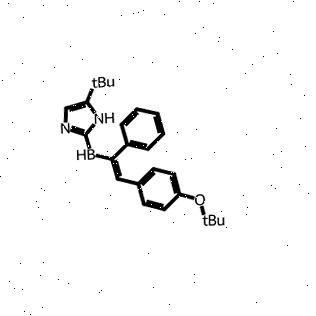 CC(C)(C)Oc1ccc(C=C(Bc2ncc(C(C)(C)C)[nH]2)c2ccccc2)cc1